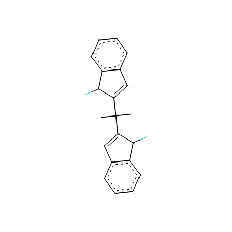 CC(C)(C1=Cc2ccccc2C1F)C1=Cc2ccccc2C1F